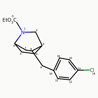 CCOC(=O)N1CC2CCC1CC2Cc1ccc(Cl)cc1